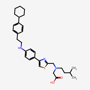 CC(C)CCN(CC(=O)O)Cc1nc(-c2ccc(NCCc3ccc(C4CCCCC4)cc3)cc2)cs1